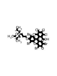 CCO[Si](CCCOc1c(Br)cc2c(-c3c(Cl)c(Cl)c(Cl)c(Cl)c3C(=O)O)c3cc(Br)c(=O)c(Br)c-3oc2c1Br)(OCC)OCC